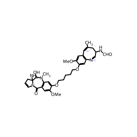 COc1cc2c(cc1OCCCCCOc1cc3c(cc1OC)C(=O)N1C=CCC1(N)C(O)N3C)/N=C\C(NC=O)C/C(C)=C\2